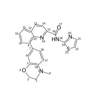 CN1CCOc2cc(-c3cccc4ccc(C(=O)Nc5nccs5)nc34)ccc21